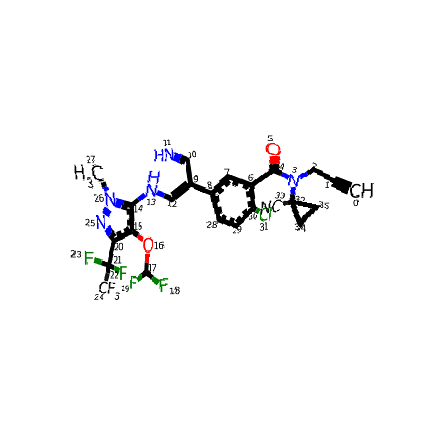 C#CCN(C(=O)c1cc(/C(C=N)=C/Nc2c(OC(F)F)c(C(F)(F)C(F)(F)F)nn2C)ccc1Cl)C1(C#N)CC1